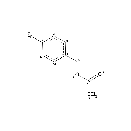 CC(C)c1ccc(COC(=O)C(Cl)(Cl)Cl)cc1